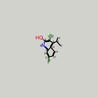 CC(C)c1c(Br)c(O)nc2cc(F)ccc12